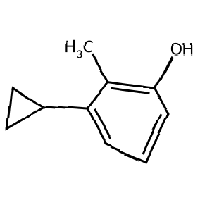 Cc1c(O)cccc1C1CC1